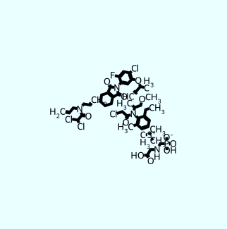 C#CC(C)Oc1cc(N2C(=O)C3=C(CCCC3)C2=O)c(F)cc1Cl.C=CCN(CC=C)C(=O)C(Cl)Cl.CCc1cccc(C)c1N(C(=O)CCl)C(C)COC.C[S+](C)C.O=C(O)CNCP(=O)([O-])O